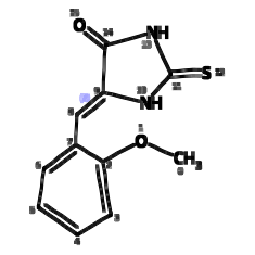 COc1ccccc1/C=C1\NC(=S)NC1=O